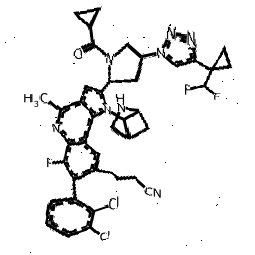 Cc1nc2c(F)c(-c3cccc(Cl)c3Cl)c(CCC#N)cc2c2c1cc(C1CC(n3cc(C4(C(F)F)CC4)nn3)CN1C(=O)C1CC1)n2C1C2CNC1C2